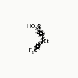 CCC(COc1ccc(C(F)(F)F)cc1)CSc1ccc(OCC(=O)O)c(C)c1